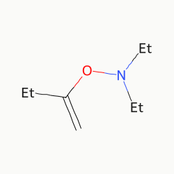 C=C(CC)ON(CC)CC